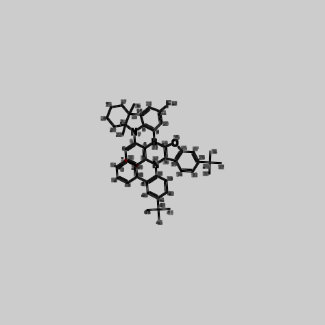 Cc1cc2c3c(c1)N1c4c(cc(F)cc4C4(C)CCCCC14C)B3c1oc3cc(C(C)(C)C)ccc3c1N2c1ccc(C(C)(C)C)cc1-c1ccccc1